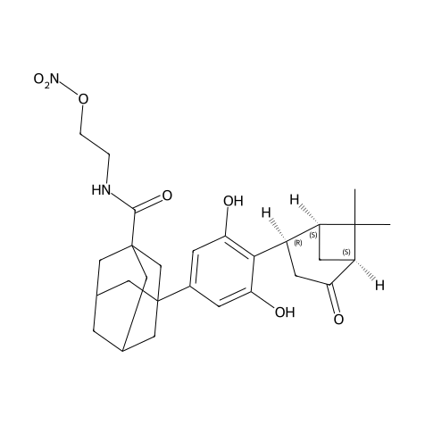 CC1(C)[C@@H]2C[C@H]1[C@H](c1c(O)cc(C34CC5CC(CC(C(=O)NCCO[N+](=O)[O-])(C5)C3)C4)cc1O)CC2=O